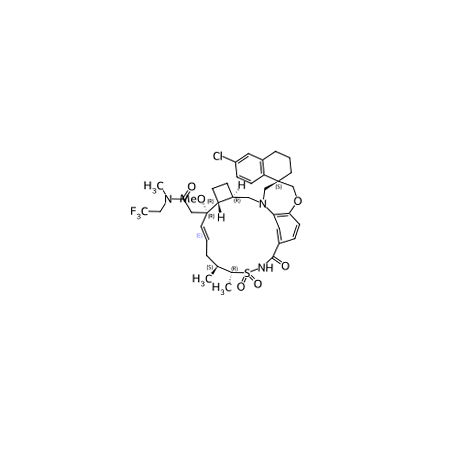 CO[C@@]1(CC(=O)N(C)CC(F)(F)F)/C=C/C[C@H](C)[C@@H](C)S(=O)(=O)NC(=O)c2ccc3c(c2)N(C[C@@H]2CC[C@H]21)C[C@@]1(CCCc2cc(Cl)ccc21)CO3